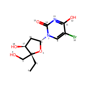 CC[C@]1(CO)O[C@@H](n2cc(Br)c(O)nc2=O)C[C@@H]1O